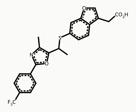 Cc1nc(-c2ccc(C(F)(F)F)cc2)oc1C(C)Sc1ccc2c(CC(=O)O)coc2c1